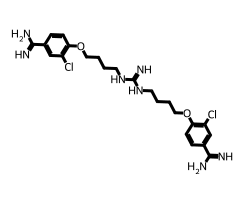 N=C(NCCCCOc1ccc(C(=N)N)cc1Cl)NCCCCOc1ccc(C(=N)N)cc1Cl